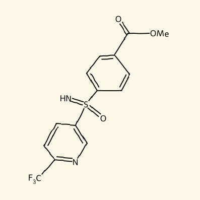 COC(=O)c1ccc(S(=N)(=O)c2ccc(C(F)(F)F)nc2)cc1